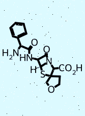 NC(C(=O)NC1C(=O)N2C(C(=O)O)C3(CCOC3)S[C@@H]12)c1ccccc1